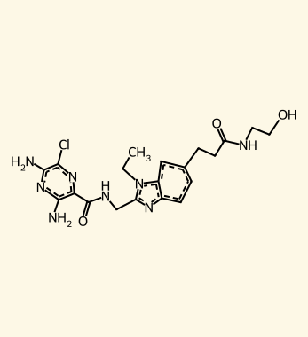 CCn1c(CNC(=O)c2nc(Cl)c(N)nc2N)nc2ccc(CCC(=O)NCCO)cc21